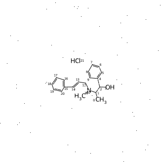 CC(C(O)c1ccccc1)N(C)C/C=C/c1ccccc1.Cl